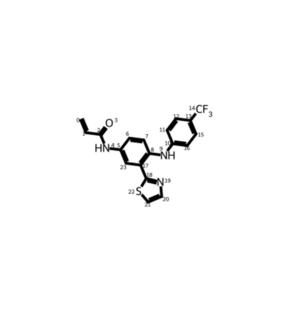 C=CC(=O)Nc1ccc(Nc2ccc(C(F)(F)F)cc2)c(-c2nccs2)c1